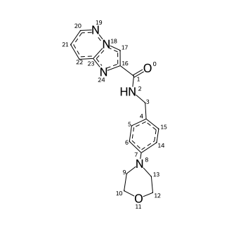 O=C(NCc1ccc(N2CCOCC2)cc1)c1cn2ncccc2n1